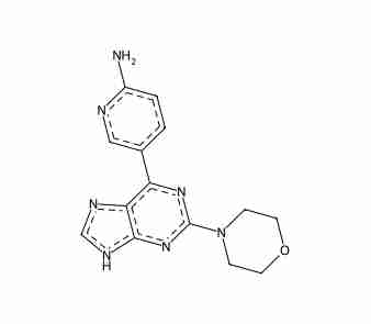 Nc1ccc(-c2nc(N3CCOCC3)nc3[nH]cnc23)cn1